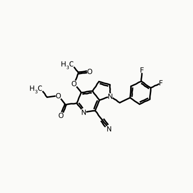 CCOC(=O)c1nc(C#N)c2c(ccn2Cc2ccc(F)c(F)c2)c1OC(C)=O